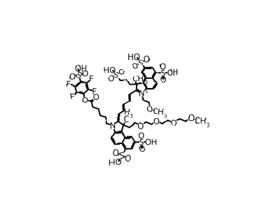 COCCOCCOCCOCCC1(C)\C(=C/C=C/C=C/C2=[N+](CCOC)c3ccc4c(S(=O)(=O)O)cc(S(=O)(=O)O)cc4c3C2(C)CCCS(=O)(=O)O)N(CCCCCC(=O)Oc2c(F)c(F)c(S(=O)(=O)O)c(F)c2F)c2ccc3c(S(=O)(=O)O)cc(S(=O)(=O)O)cc3c21